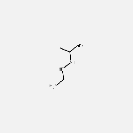 CCCC(C)NPCP